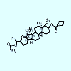 CC(C)C(OC(N)=O)C1CC[C@H]2C(O1)[C@H](O)[C@@]1(C)C3CC[C@H]4C(C)(C)C(OC(=O)N5CCC5)CCC45CC35CCC21C